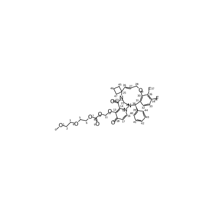 COCCOCCOC(=O)OCOc1c2n(ccc1=O)N1CN(C2=O)C2(/C=C/COc3c(ccc(F)c3F)[C@H]1c1ccccc1)CCC2